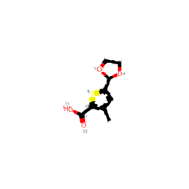 Cc1cc(C2OCCO2)sc1C(=O)O